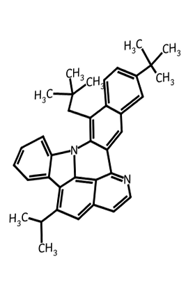 CC(C)c1cc2ccnc3c4cc5cc(C(C)(C)C)ccc5c(CC(C)(C)C)c4n4c5ccccc5c1c4c23